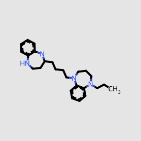 CCCN1CCCN(CCCCC2CCNc3ccccc3[N]2)c2ccccc21